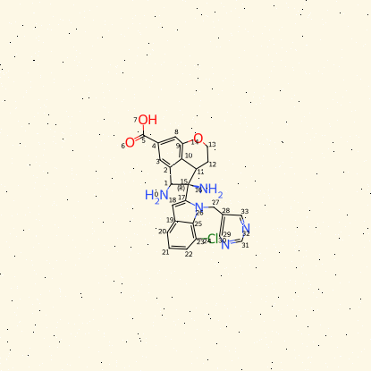 NC1c2cc(C(=O)O)cc3c2C(CCO3)[C@]1(N)c1cc2cccc(Cl)c2n1Cc1cncnc1